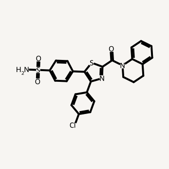 NS(=O)(=O)c1ccc(-c2sc(C(=O)N3CCCc4ccccc43)nc2-c2ccc(Cl)cc2)cc1